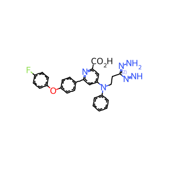 N=N/C(CCN(c1ccccc1)c1cc(C(=O)O)nc(-c2ccc(Oc3ccc(F)cc3)cc2)c1)=N\N